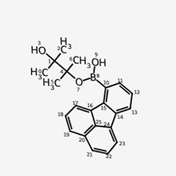 CC(C)(O)C(C)(C)OB(O)c1cccc2c1-c1cccc3cccc-2c13